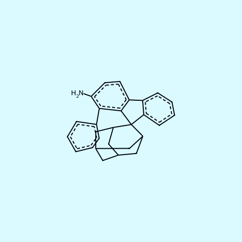 Nc1ccc2c(c1-c1ccccc1)C1(c3ccccc3-2)C2CC3CC(C2)CC1C3